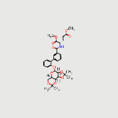 COC(=O)CC[C@H](NC(=O)c1cccc(-c2ccccc2O[C@H]2O[C@@H]3COC(C)(C)O[C@H]3[C@@H]3OC(C)(C)O[C@H]23)c1)C(=O)OC